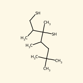 CC(CS)C(C)(S)C(C)CC(C)(C)C